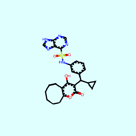 O=c1oc2c(c(O)c1C(c1cccc(NS(=O)(=O)c3ncnc4[nH]cnc34)c1)C1CC1)CCCCCC2